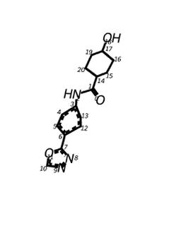 O=C(Nc1ccc(-c2nnco2)cc1)C1CCC(O)CC1